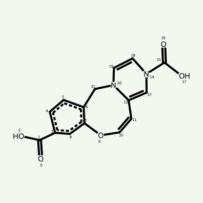 O=C(O)c1ccc2c(c1)OC=CC1=CN(C(=O)O)C=CN1C2